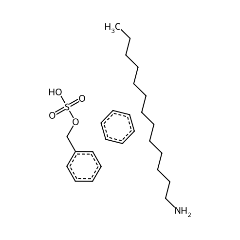 CCCCCCCCCCCCCN.O=S(=O)(O)OCc1ccccc1.c1ccccc1